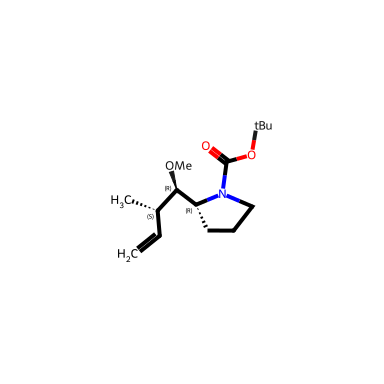 C=C[C@H](C)[C@@H](OC)[C@H]1CCCN1C(=O)OC(C)(C)C